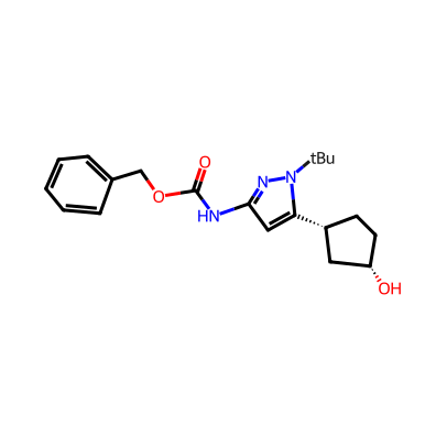 CC(C)(C)n1nc(NC(=O)OCc2ccccc2)cc1[C@@H]1CC[C@H](O)C1